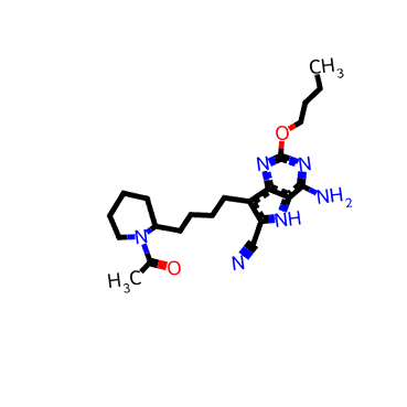 CCCCOc1nc(N)c2[nH]c(C#N)c(CCCCC3CCCCN3C(C)=O)c2n1